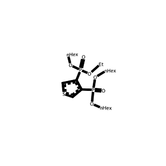 CCCCCCOP(=O)(OCC)c1cscc1P(=O)(OCCCCCC)OCCCCCC